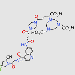 N#C[C@@H]1CC(F)(F)CN1C(=O)CNC(=O)c1ccnc2ccc(NC(=O)CCC(=O)N3CCN(C(=O)CCC(C(=O)O)N4CCN(CC(=O)O)CCN(CC(=O)O)CC4)CC3)cc12